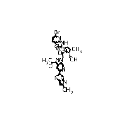 C#C[C@@H]1[C@@H](C)C[C@@H](C(=O)Nc2nc(Br)ccc2C)N1C(=O)Cn1nc(C(C)=O)c2cc(-c3cnc4cc(C)nn4c3)ncc21